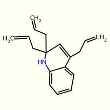 C=CCC1=CC(CC=C)(CC=C)Nc2ccccc21